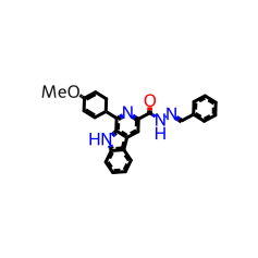 COC1=CCC(c2nc(C(=O)N/N=C/c3ccccc3)cc3c2[nH]c2ccccc23)C=C1